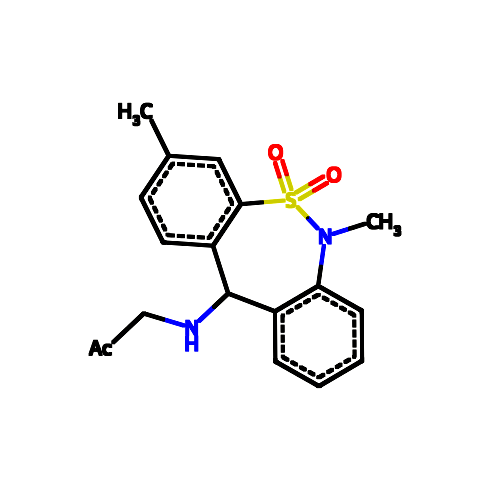 CC(=O)CNC1c2ccccc2N(C)S(=O)(=O)c2cc(C)ccc21